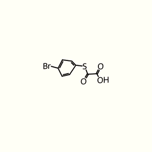 O=C(O)C(=O)Sc1ccc(Br)cc1